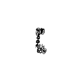 COC(=O)N[C@H]1CCc2ccn3c2C1C(=O)C[C@H](c1ncc(-c2ccc(-c4ccc(C(=O)CNC(=O)C5[C@H]6CC6CN5C(=O)OC(C)(C)C)cc4)cc2)[nH]1)C3